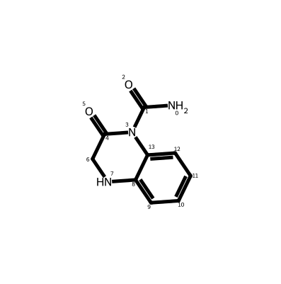 NC(=O)N1C(=O)CNc2ccccc21